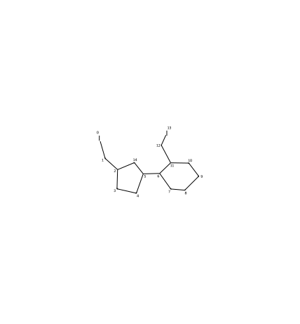 ICC1CCC(C2CCCCC2CI)C1